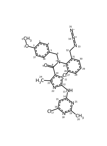 COc1ccc(CN(C(=O)c2sc(Nc3cc(Cl)nc(C)n3)nc2C)c2c(Cl)cccc2CN=[N+]=[N-])cc1